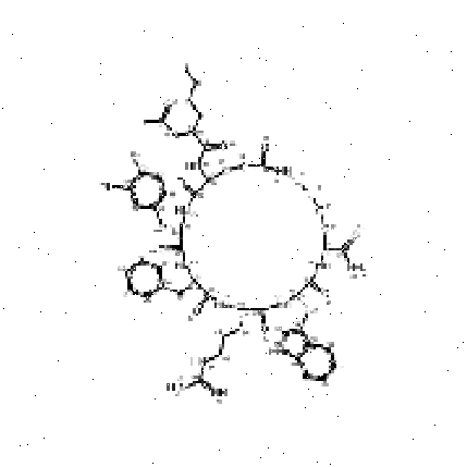 CCCC[C@H](NC(C)=O)C(=O)N[C@H]1CCC(=O)NCCCC[C@@H](C(N)=O)NC(=O)[C@H](Cc2c[nH]c3ccccc23)NC(=O)[C@H](CCCNC(=N)N)NC(=O)[C@@H](Cc2ccccc2)NC(=O)[C@H](Cc2ccc(F)c(F)c2)NC1=O